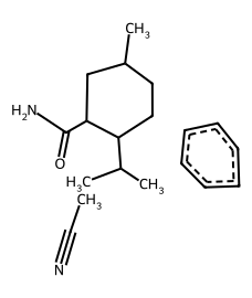 CC#N.CC1CCC(C(C)C)C(C(N)=O)C1.c1ccccc1